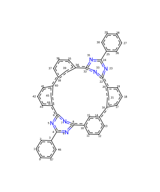 c1ccc(-c2nc3nc(n2)c2cccc(c2)c2cccc(c2)c2nc(-c4ccccc4)nc(n2)c2cccc(c2)c2cccc3c2)cc1